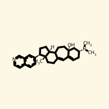 CN(C)[C@@H]1CC=C2C=C3CC[C@]4(C)[C@@H](c5ccc6ccncc6c5)CC[C@H]4C3CC[C@@]2(O)C1